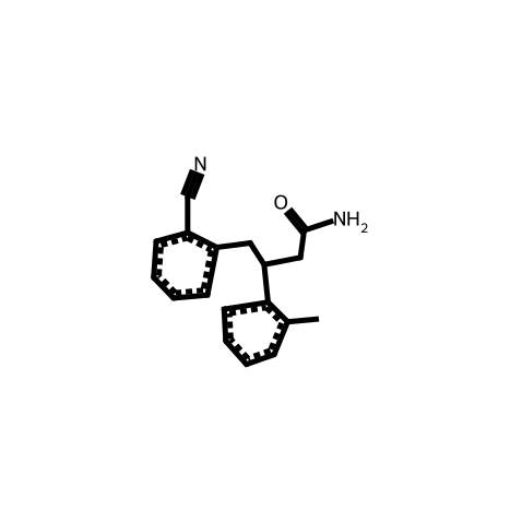 Cc1ccccc1C(CC(N)=O)Cc1ccccc1C#N